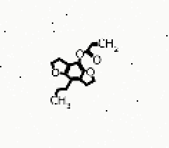 C=CC(=O)Oc1c2c(c(CCC)c3c1OCC3)OCC2